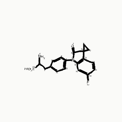 NC(Cc1ccc(N2C(=O)C3(CC3)c3ccc(F)cc32)cc1)C(=O)O